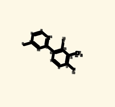 Cc1ccnc(-c2ccc(F)c(C(F)(F)F)c2F)c1